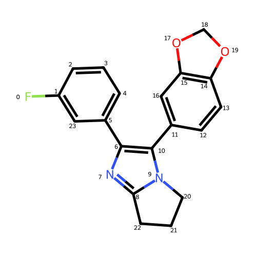 Fc1cccc(-c2nc3n(c2-c2ccc4c(c2)OCO4)CCC3)c1